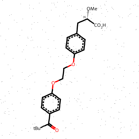 CO[C@@H](Cc1ccc(OCCOc2ccc(C(=O)C(C)(C)C)cc2)cc1)C(=O)O